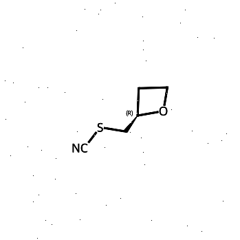 N#CSC[C@H]1CCO1